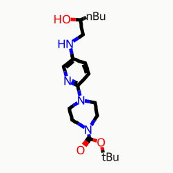 CCCCC(O)CNc1ccc(N2CCN(C(=O)OC(C)(C)C)CC2)nc1